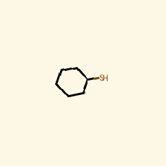 SC1[CH]CCCC1